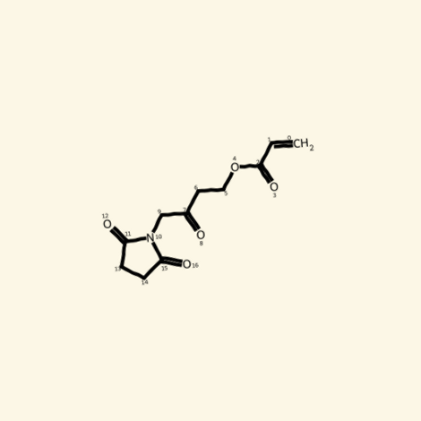 C=CC(=O)OCCC(=O)CN1C(=O)CCC1=O